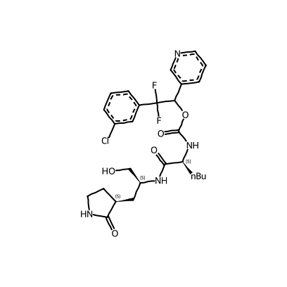 CCCC[C@H](NC(=O)OC(c1cccnc1)C(F)(F)c1cccc(Cl)c1)C(=O)N[C@H](CO)C[C@@H]1CCNC1=O